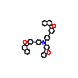 C1=CC2C=Cc3oc4ccc(-c5ccc(N(c6ccc(-c7ccc8oc9ccc%10ccccc%10c9c8c7)cc6)c6ccc7oc8ccccc8c7c6)cc5)cc4c3C2C=C1